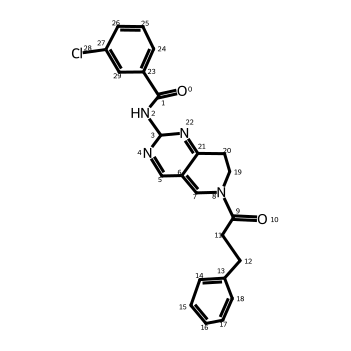 O=C(NC1N=CC2=CN(C(=O)CCc3ccccc3)CCC2=N1)c1cccc(Cl)c1